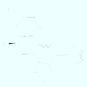 CC(C)(C)[C@@H]1Cc2c(cc(-c3cnco3)c3occc23)-c2cc(=O)c(C(=O)O)cn21